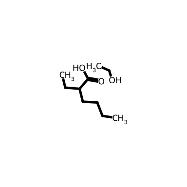 CCCCC(CC)C(=O)O.CCO